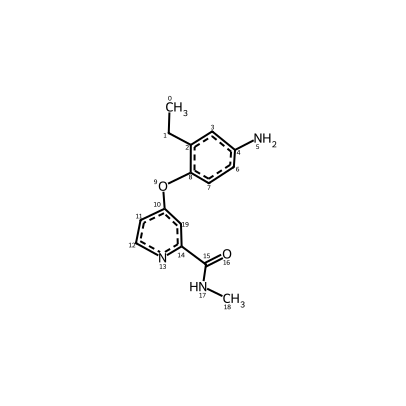 CCc1cc(N)ccc1Oc1ccnc(C(=O)NC)c1